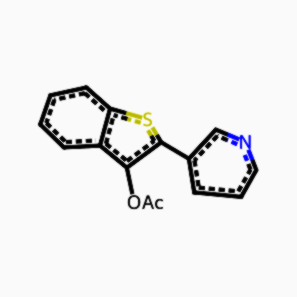 CC(=O)Oc1c(-c2cccnc2)sc2ccccc12